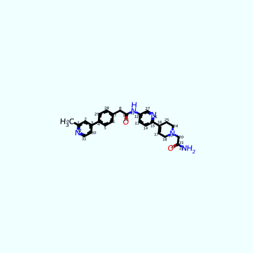 Cc1cc(-c2ccc(CC(=O)Nc3ccc(C4=CCN(CC(N)=O)CC4)nc3)cc2)ccn1